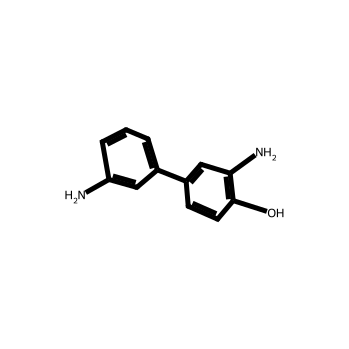 Nc1cccc(-c2ccc(O)c(N)c2)c1